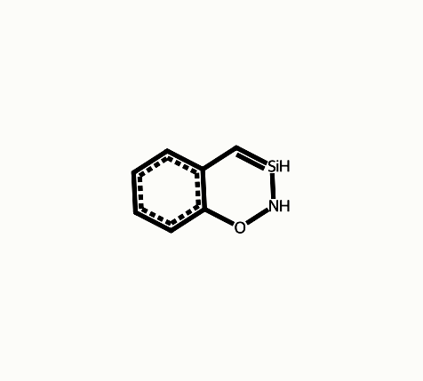 C1=[SiH]NOc2ccccc21